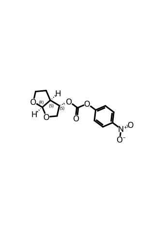 O=C(Oc1ccc([N+](=O)[O-])cc1)O[C@@H]1CO[C@H]2OCC[C@H]21